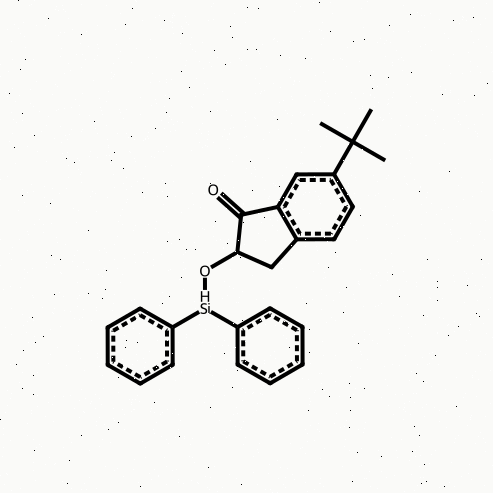 CC(C)(C)c1ccc2c(c1)C(=O)C(O[SiH](c1ccccc1)c1ccccc1)C2